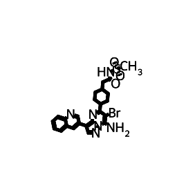 CS(=O)(=O)NC(=O)CC1CCC(c2nc3c(-c4cnc5ccccc5c4)cnn3c(N)c2Br)CC1